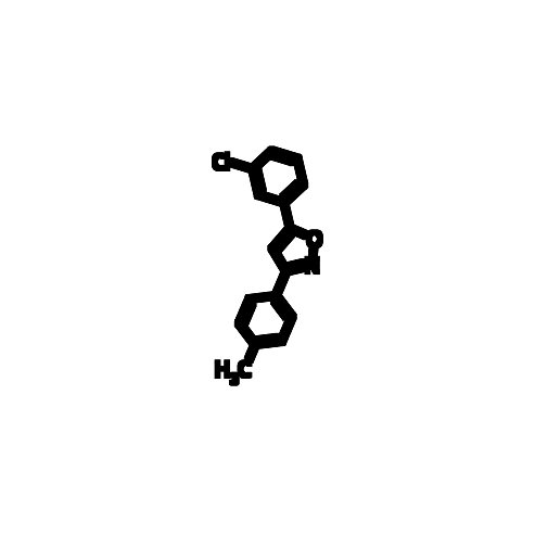 Cc1ccc(-c2cc(-c3cccc(Cl)c3)on2)cc1